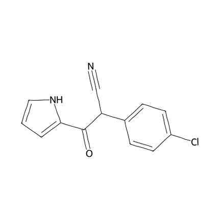 N#CC(C(=O)c1ccc[nH]1)c1ccc(Cl)cc1